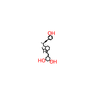 C[C@@H](C#Cc1cccc(O)c1)[C@H]1CC[C@H]2/C(=C/C=C3C[C@@H](O)C[C@H](O)C3)CCC[C@]12C